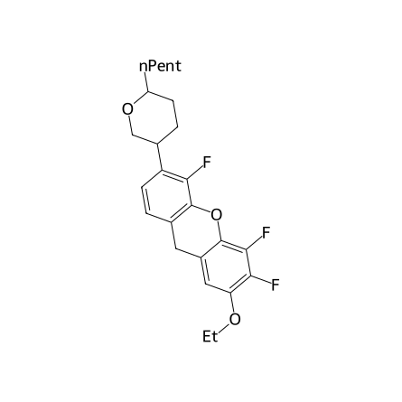 CCCCCC1CCC(c2ccc3c(c2F)Oc2c(cc(OCC)c(F)c2F)C3)CO1